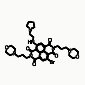 O=C1c2cc(NCCN3CCCC3)c3c4c(cc(Br)c(c24)C(=O)N1CCCN1CCOCC1)C(=O)N(CCCN1CCOCC1)C3=O